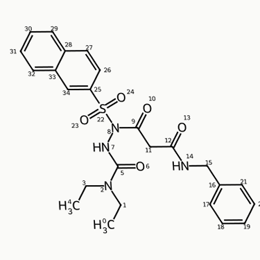 CCN(CC)C(=O)NN(C(=O)CC(=O)NCc1ccccc1)S(=O)(=O)c1ccc2ccccc2c1